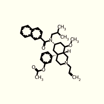 C=CCN1CC[C@@]2(c3cccc(OC(C)=O)c3)C[C@H](N(CC(C)C)C(=O)c3ccc4ccccc4c3)CC(OC)[C@@H]2C1